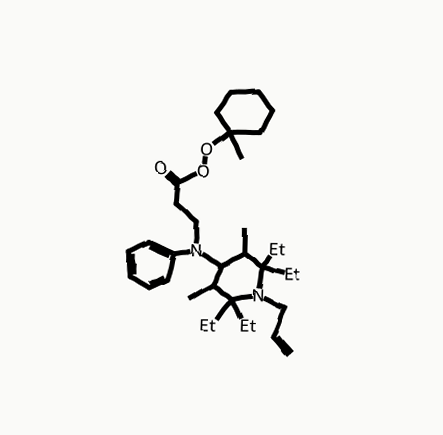 C=CCN1C(CC)(CC)C(C)C(N(CCC(=O)OOC2(C)CCCCC2)c2ccccc2)C(C)C1(CC)CC